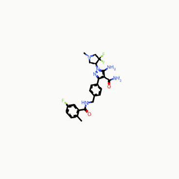 Cc1ccc(F)cc1C(=O)NCc1ccc(-c2nn(C3CN(C)CC3(F)F)c(N)c2C(N)=O)cc1